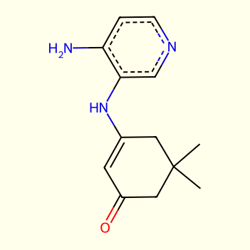 CC1(C)CC(=O)C=C(Nc2cnccc2N)C1